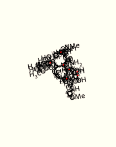 CN[C@H](CC(C)C)C(=O)N[C@H]1C(=O)N[C@@H](CC(N)=O)C(=O)NC2C(=O)N[C@H]3C(=O)N[C@H](C(=O)NC(C(=O)NCC(=O)Nc4cccc(OC)c4)c4cc(O)cc(O)c4-c4cc3ccc4O)[C@H](O)c3ccc(c(Cl)c3)Oc3cc2cc(c3O[C@@H]2O[C@H](CO)[C@@H](O)[C@H](O)[C@H]2OC2C[C@](C)(N)[C@H](O)[C@H](C)O2)Oc2ccc(cc2)[C@H]1O